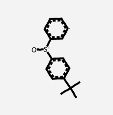 CC(C)(C)c1ccc([S+]([O-])c2c[c]ccc2)cc1